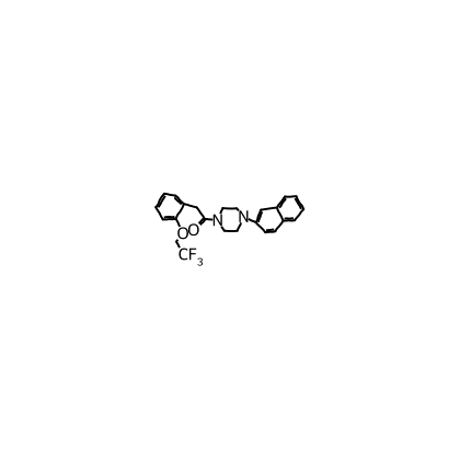 O=C(Cc1ccccc1OCC(F)(F)F)N1CCN(c2ccc3ccccc3c2)CC1